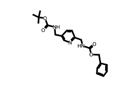 CC(C)(C)OC(=O)NCc1ccc(CNC(=O)OCc2ccccc2)nc1